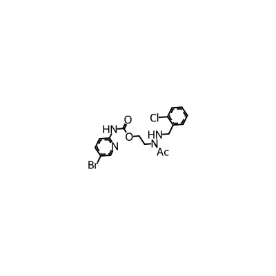 CC(=O)N(CCOC(=O)Nc1ccc(Br)cn1)NCc1ccccc1Cl